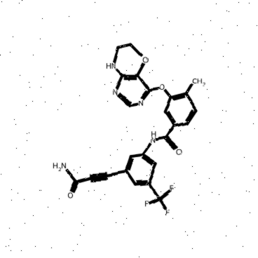 Cc1ccc(C(=O)Nc2cc(C#CC(N)=O)cc(C(F)(F)F)c2)cc1Oc1ncnc2c1OCCN2